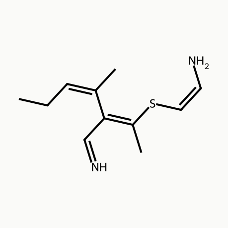 CC/C=C(C)\C(C=N)=C(\C)S/C=C\N